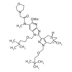 COc1nc2nc(-c3nn(COCC[Si](C)(C)C)c4c3C[C@@H]3C[C@]3(C)C4)n(COCC[Si](C)(C)C)c2cc1N(C)C(=O)CN1CCOCC1